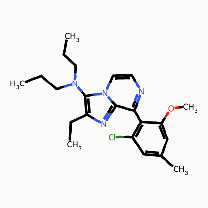 CCCN(CCC)c1c(CC)nc2c(-c3c(Cl)cc(C)cc3OC)nccn12